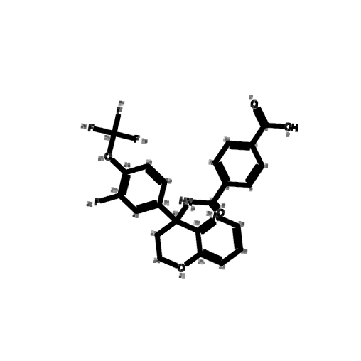 O=C(O)c1ccc(C(=O)NC2(c3ccc(OC(F)(F)F)c(F)c3)CCOc3cccnc32)cc1